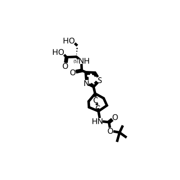 CC(C)(C)OC(=O)NC12CCC(c3nc(C(=O)N[C@@H](CO)C(=O)O)cs3)(CC1)CC2